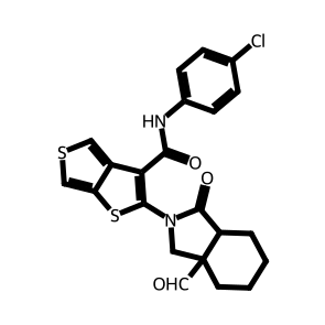 O=CC12CCCCC1C(=O)N(c1sc3cscc3c1C(=O)Nc1ccc(Cl)cc1)C2